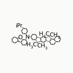 CC(C)c1ccc(N(c2ccc3c(c2)C(C)(C)c2cc4c(cc2-3)C(C)(C)c2c-4ccc3ccccc23)c2cccc3c2oc2ccccc23)cc1